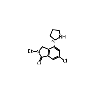 CCN1Cc2c(cc(Cl)cc2[C@@H]2CCCN2)C1=O